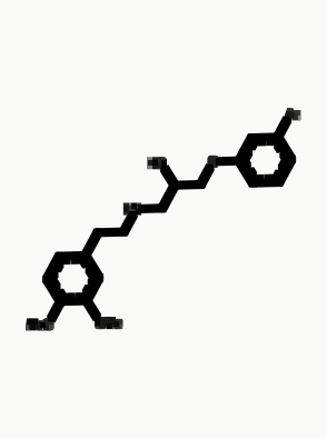 COc1ccc(CCNCC(O)COc2cccc(C(C)=O)c2)cc1OC